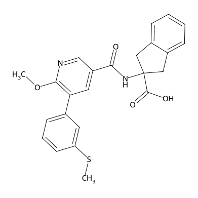 COc1ncc(C(=O)NC2(C(=O)O)Cc3ccccc3C2)cc1-c1cccc(SC)c1